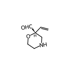 C=C[C@]1(C=O)CNCCO1